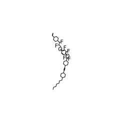 C=CC1CCC(C(F)C(F)COc2ccc(OC(F)(F)C3CCC(C#CC4CCC(CCCCCCC)CC4)CC3)c(F)c2F)CC1